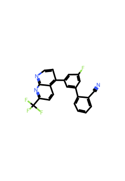 N#Cc1ccccc1-c1cc(F)cc(-c2ccnc3nc(C(F)(F)F)ccc23)c1